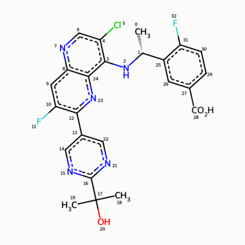 C[C@@H](Nc1c(Cl)cnc2cc(F)c(-c3cnc(C(C)(C)O)nc3)nc12)c1cc(C(=O)O)ccc1F